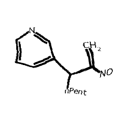 C=C(N=O)C(CCCCC)c1cccnc1